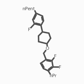 CCCCCc1ccc(C2CCC(OCc3ccc(CCC)c(F)c3F)CC2)c(F)c1